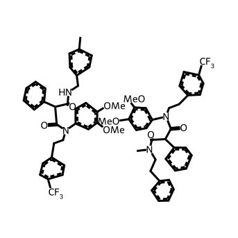 COc1ccc(N(CCc2ccc(C(F)(F)F)cc2)C(=O)C(C(=O)N(C)CCc2ccccc2)c2ccccc2)cc1OC.COc1ccc(N(CCc2ccc(C(F)(F)F)cc2)C(=O)C(C(=O)NCc2ccc(C)cc2)c2ccccc2)cc1OC